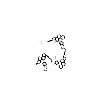 CC(C)N(CCC(C)(C)C#C[C@]1(O)CC[C@H]2[C@@H]3CCC4=CC(=O)CC[C@@H]4[C@H]3[C@@H](c3ccc(N4CCCC4)cc3)C[C@@]21C)c1ccc([C@H]2C[C@@]3(C)[C@@H](CC[C@@]3(O)C#CC(C)(C)CC3COc4cc([C@H]5C[C@@]6(C)[C@@H](CC[C@@]6(O)C#CC(C)(C)C)[C@@H]6CCC7=CC(=O)CC[C@@H]7[C@H]65)ccc4O3)[C@@H]3CCC4=CC(=O)CC[C@@H]4[C@H]32)cc1